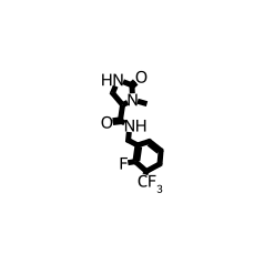 CN1C(=O)NCC1C(=O)NCC1=C(F)C(C(F)(F)F)CC=C1